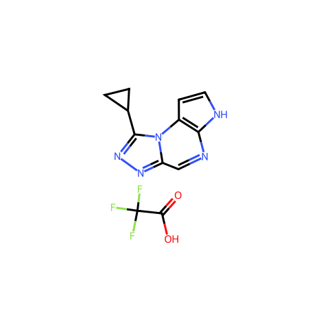 O=C(O)C(F)(F)F.c1cc2c(ncc3nnc(C4CC4)n32)[nH]1